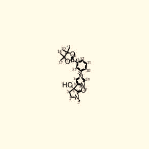 CN1CC[C@@](O)(c2cn(-c3cccc(B4OC(C)(C)C(C)(C)O4)c3)cn2)C1=O